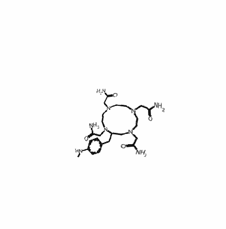 CNc1ccc(CC2CN(CC(N)=O)CCN(CC(N)=O)CCN(CC(N)=O)CCN2CC(N)=O)cc1